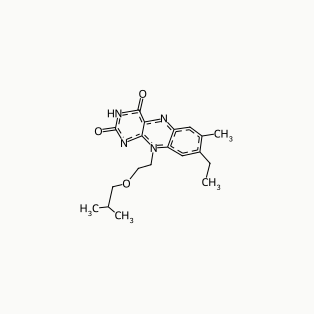 CCc1cc2c(cc1C)nc1c(=O)[nH]c(=O)nc-1n2CCOCC(C)C